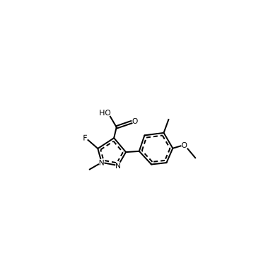 COc1ccc(-c2nn(C)c(F)c2C(=O)O)cc1C